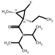 CCC[C@@]1(C(=O)N(C(C)C)C(C)C)C(F)[C@H]1C